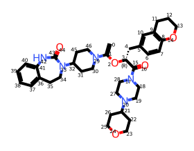 C=C(O[C@H](Cc1ccc2c(c1)CCCO2)C(=O)N1CCN(C2CCOCC2)CC1)N1CCC(N2CCc3ccccc3NC2=O)CC1